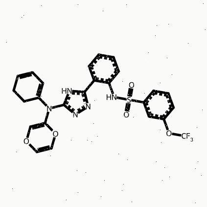 O=S(=O)(Nc1ccccc1-c1nnc(N(C2=CC=CCC2)C2=COC=CO2)[nH]1)c1cccc(OC(F)(F)F)c1